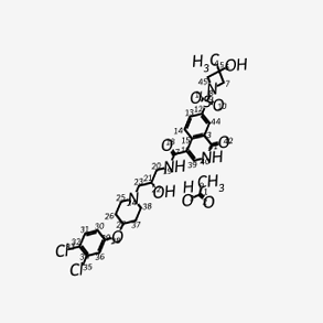 CC(=O)O.CC1(O)CN(S(=O)(=O)c2ccc3c(C(=O)NC[C@@H](O)CN4CCC(Oc5ccc(Cl)c(Cl)c5)CC4)c[nH]c(=O)c3c2)C1